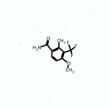 COc1ccc(C(N)=O)c(C)c1C(F)(F)F